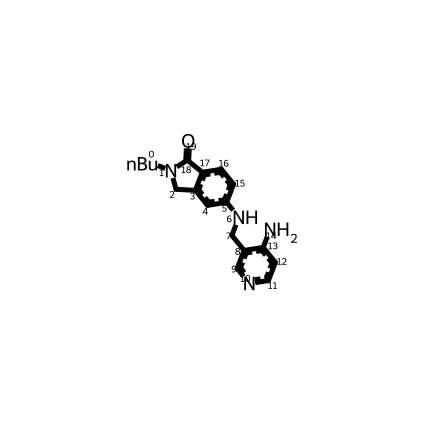 CCCCN1Cc2cc(NCc3cnccc3N)ccc2C1=O